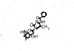 Cc1cn([C@H]2C[C@@]3(O)C[C@]4(F)C[C@]4(O)[C@H]3O2)c(=O)nc1NC(=O)c1ccccc1